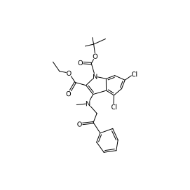 CCOC(=O)c1c(N(C)CC(=O)c2ccccc2)c2c(Cl)cc(Cl)cc2n1C(=O)OC(C)(C)C